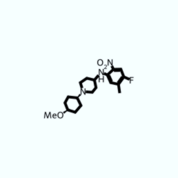 CO[C@H]1CC[C@@H](N2CCC(Nc3cc(C)c(F)cc3[N+](=O)[O-])CC2)CC1